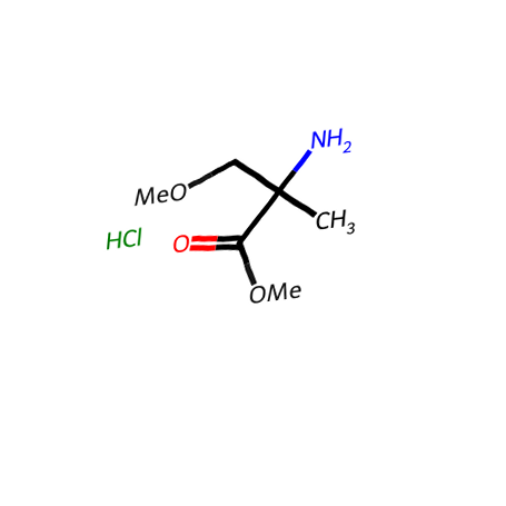 COCC(C)(N)C(=O)OC.Cl